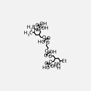 BNC(C)CC(COP(=O)(O)O)COP(=O)(O)OCCOP(=O)(O)OCC(COP(=O)(O)O)CC(CC)NF